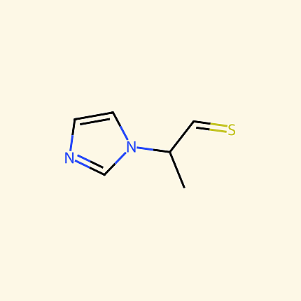 CC(C=S)n1ccnc1